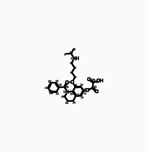 CC(C)NCCCCOc1cccc2c1N(C(=O)c1cccnc1)CCC2.O=C(O)C(=O)O